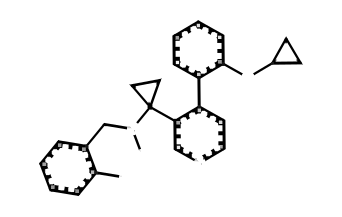 CCN(Cc1ccccc1Cl)C1(c2cnccc2-c2ccccc2OC2CC2)CC1